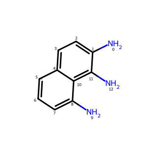 Nc1ccc2[c]ccc(N)c2c1N